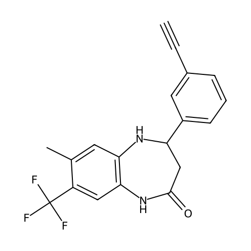 C#Cc1cccc(C2CC(=O)Nc3cc(C(F)(F)F)c(C)cc3N2)c1